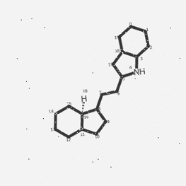 C1CCC2NC(CCC3CCC4CCCC[C@H]43)CC2C1